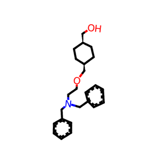 OC[C@H]1CC[C@@H](COCCN(Cc2ccccc2)Cc2ccccc2)CC1